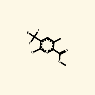 COC(=O)c1nc(Cl)c(C(F)(F)F)cc1C